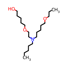 CCCCCN(CCCCCOCCC)CCOCCCCCO